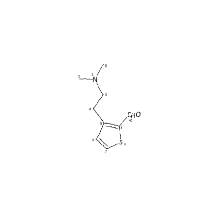 CN(C)CCc1ccsc1C=O